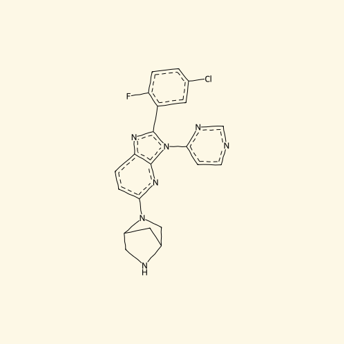 Fc1ccc(Cl)cc1-c1nc2ccc(N3CC4CC3CN4)nc2n1-c1ccncn1